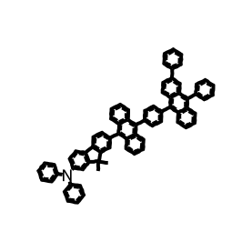 CC1(C)c2cc(-c3c4ccccc4c(-c4ccc(-c5c6ccccc6c(-c6ccccc6)c6cc(-c7ccccc7)ccc56)cc4)c4ccccc34)ccc2-c2ccc(N(c3ccccc3)c3ccccc3)cc21